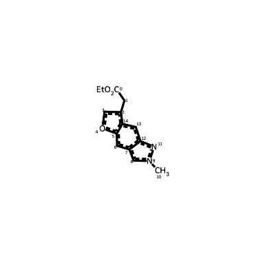 CCOC(=O)Cc1coc2cc3cn(C)nc3cc12